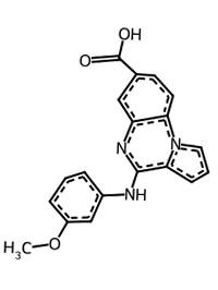 COc1cccc(Nc2nc3cc(C(=O)O)ccc3n3cccc23)c1